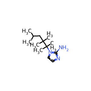 CC(C)CC(C)(C)C(C)(C)n1ccnc1N